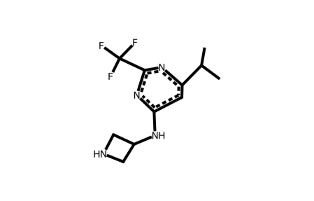 CC(C)c1cc(NC2CNC2)nc(C(F)(F)F)n1